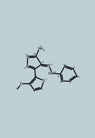 COc1ccsc1C1=NN=C(N)/C1=N/Nc1ccccc1